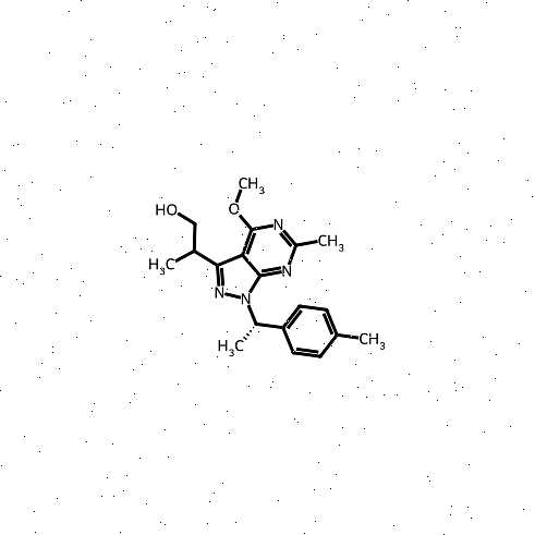 COc1nc(C)nc2c1c(C(C)CO)nn2[C@@H](C)c1ccc(C)cc1